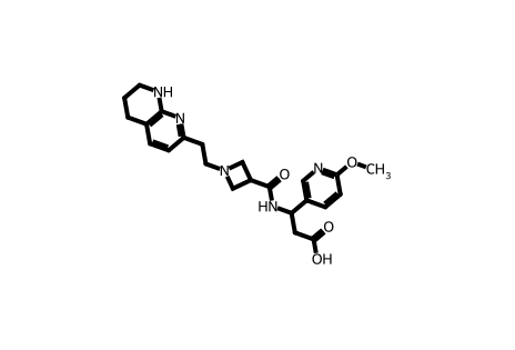 COc1ccc(C(CC(=O)O)NC(=O)C2CN(CCc3ccc4c(n3)NCCC4)C2)cn1